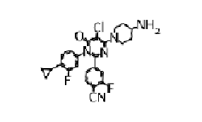 N#Cc1ccc(-c2nc(N3CCC(N)CC3)c(Cl)c(=O)n2-c2ccc(C3CC3)c(F)c2)cc1F